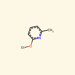 [CH2]COc1cccc(C)n1